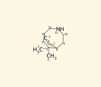 CC1(C)CC2CC=CC1CCNC2